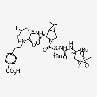 CN(C[C@@H](NC(=O)N[C@H](C(=O)N1CC2C([C@H]1C(=O)N[C@@H](CC(F)F)C(=O)NCCc1ccc(C(=O)O)cc1)C2(C)C)C(C)(C)C)C(C)(C)C)S(C)(=O)=O